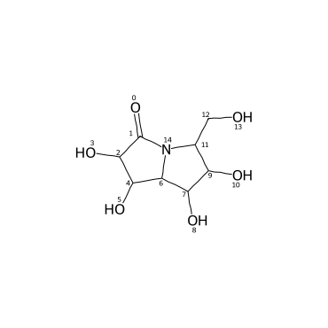 O=C1C(O)C(O)C2C(O)C(O)C(CO)N12